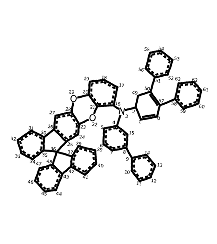 C1=CC(N(c2cccc(-c3ccccc3)c2)c2cccc3c2Oc2cc4c(cc2O3)-c2ccccc2C42c3ccccc3-c3ccccc32)CC(c2ccccc2)=C1c1ccccc1